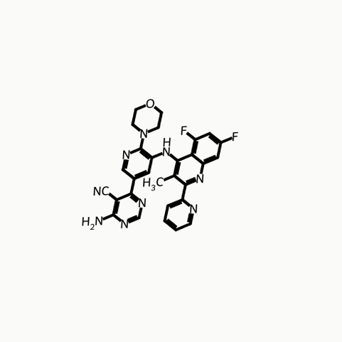 Cc1c(-c2ccccn2)nc2cc(F)cc(F)c2c1Nc1cc(-c2ncnc(N)c2C#N)cnc1N1CCOCC1